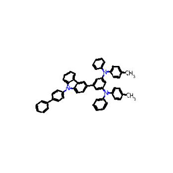 Cc1ccc(N(c2ccccc2)c2cc(-c3ccc4c(c3)c3ccccc3n4-c3ccc(-c4ccccc4)cc3)cc(N(c3ccccc3)c3ccc(C)cc3)c2)cc1